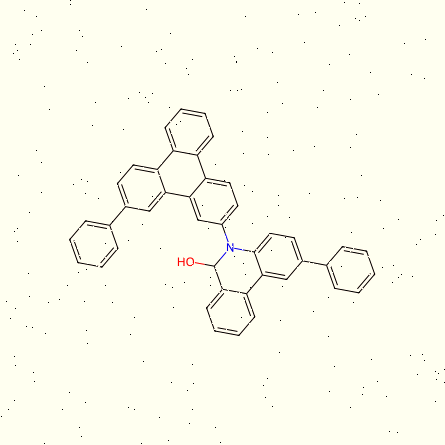 OC1c2ccccc2-c2cc(-c3ccccc3)ccc2N1c1ccc2c3ccccc3c3ccc(-c4ccccc4)cc3c2c1